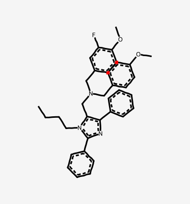 CCCCn1c(-c2ccccc2)nc(-c2ccccc2)c1CN(Cc1ccc(OC)cc1)Cc1ccc(OC)c(F)c1